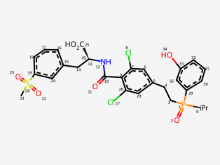 CC(C)P(=O)(CCc1cc(Cl)c(C(=O)N[C@@H](Cc2cccc(S(C)(=O)=O)c2)C(=O)O)c(Cl)c1)c1cccc(O)c1